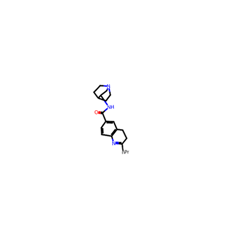 CCCC1=Nc2ccc(C(=O)NC3CN4CCC3CC4)cc2CC1